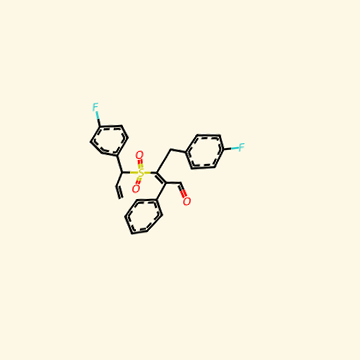 C=CC(c1ccc(F)cc1)S(=O)(=O)C(Cc1ccc(F)cc1)=C(C=O)c1ccccc1